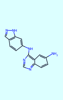 Nc1ccc2ncnc(Nc3ccc4cn[nH]c4c3)c2c1